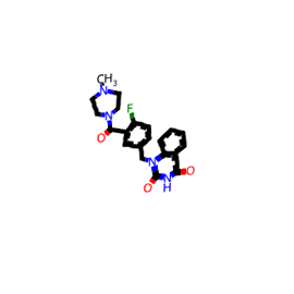 CN1CCN(C(=O)c2cc(Cn3c(=O)[nH]c(=O)c4ccccc43)ccc2F)CC1